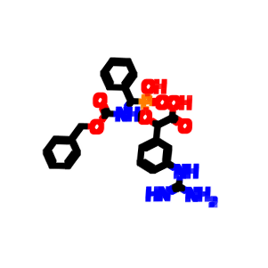 N=C(N)Nc1cccc(C(OP(=O)(O)C(NC(=O)OCc2ccccc2)c2ccccc2)C(=O)O)c1